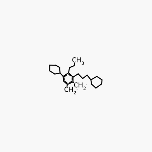 [CH2]c1cc(C2CCCCC2)c(CCC)c(CCCC2CCCCC2)c1[CH2]